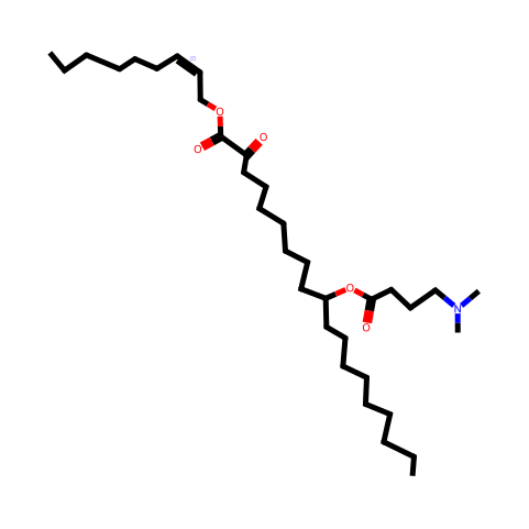 CCCCCC/C=C\COC(=O)C(=O)CCCCCCCC(CCCCCCCCC)OC(=O)CCCN(C)C